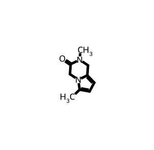 Cc1ccc2n1CC(=O)N(C)C2